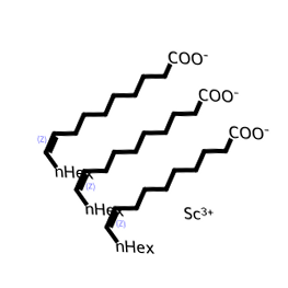 CCCCCC/C=C\CCCCCCCC(=O)[O-].CCCCCC/C=C\CCCCCCCC(=O)[O-].CCCCCC/C=C\CCCCCCCC(=O)[O-].[Sc+3]